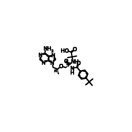 C[C@H](Cn1cnc2c(N)ncnc21)OC[P@@](=O)(NC(=O)c1ccc(C(C)(C)C)cc1)NC(C)(C)C(=O)O